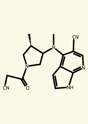 C[C@@H]1CN(C(=O)CC#N)CC1N(C)c1c(C#N)cnc2[nH]ccc12